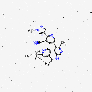 C=C(Nc1cnc(C)c(-c2cnc(/C(C=N)=C/NC)c(C#N)c2)c1)c1ccnc(C(C)(C)C)c1